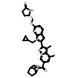 Cc1c(-c2cc3ccc(OC[C@@H]4CCC(=O)N4)nc3n2CC2CC2)nn2cc(C(=O)N3CC4CCC3[C@@H]4N)cc(F)c12